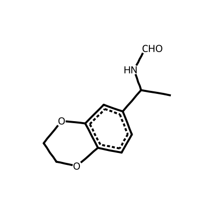 CC(NC=O)c1ccc2c(c1)OCCO2